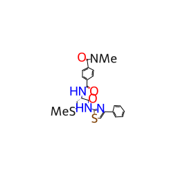 CNC(=O)c1ccc(C(=O)N[C@@H](CCSC)C(=O)Nc2nc(-c3ccccc3)cs2)cc1